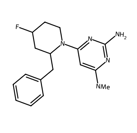 CNc1cc(N2CCC(F)CC2Cc2ccccc2)nc(N)n1